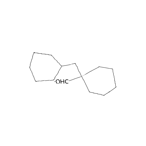 O=[C]C1(CC2CCCCC2)CCCCC1